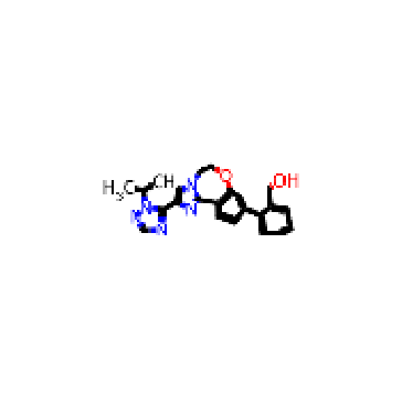 CC(C)n1ncnc1-c1cn2c(n1)-c1ccc(-c3ccccc3CO)cc1OCC2